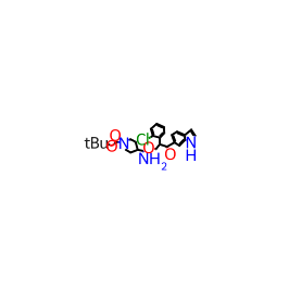 CC(C)(C)OC(=O)N1CCC(C(N)OCC(C(=O)c2ccc3cc[nH]c3c2)c2ccccc2Cl)CC1